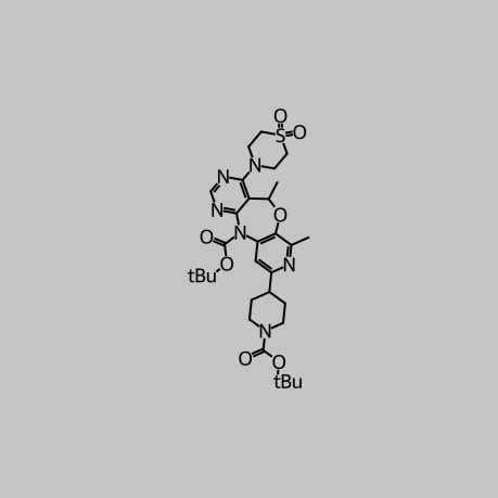 Cc1nc(C2CCN(C(=O)OC(C)(C)C)CC2)cc2c1OC(C)c1c(N3CCS(=O)(=O)CC3)ncnc1N2C(=O)OC(C)(C)C